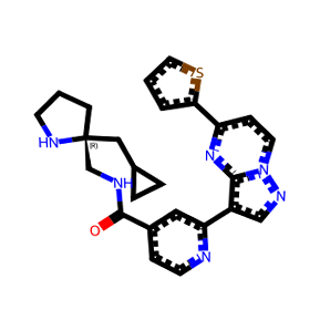 O=C(NC[C@]1(CC2CC2)CCCN1)c1ccnc(-c2cnn3ccc(-c4cccs4)nc23)c1